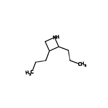 CCCC1CNC1CCC